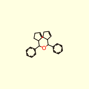 C1=CC(C(OC(c2ccccc2)C2C=CCC2)c2ccccc2)CC1